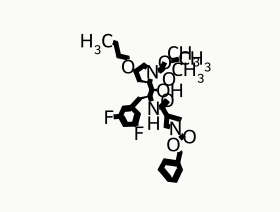 CCCCO[C@@H]1C[C@H]([C@@H](O)[C@H](Cc2cc(F)cc(F)c2)NC(=O)C2CN(C(=O)OCc3ccccc3)C2)N(C(=O)OC(C)(C)C)C1